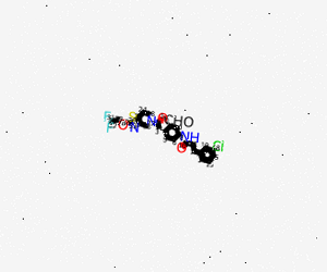 O=COC(C[C@H]1CC[C@H](NC(=O)CCc2cccc(Cl)c2)CC1)N1CCc2sc(OCC(F)F)nc2C1